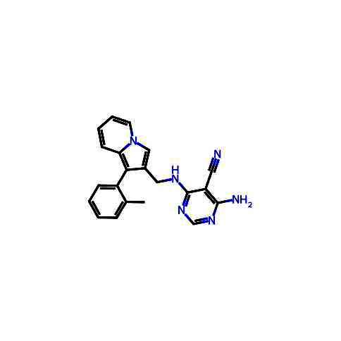 Cc1ccccc1-c1c(CNc2ncnc(N)c2C#N)cn2ccccc12